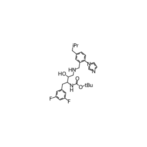 CC(C)Cc1ccc(-n2ccnc2)c(CNCC(O)C(Cc2cc(F)cc(F)c2)NC(=O)OC(C)(C)C)c1